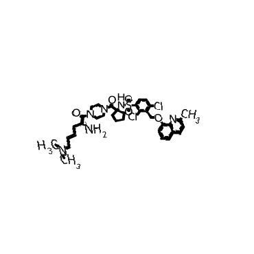 Cc1ccc2cccc(OCc3c(Cl)ccc(S(=O)(=O)NC4(C(=O)N5CCN(C(=O)[C@@H](N)CCCCN(C)C)CC5)CCCC4)c3Cl)c2n1